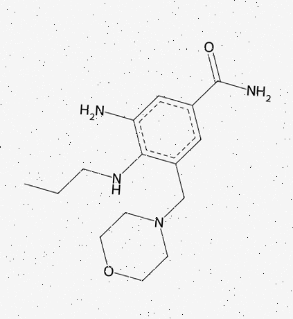 CCCNc1c(N)cc(C(N)=O)cc1CN1CCOCC1